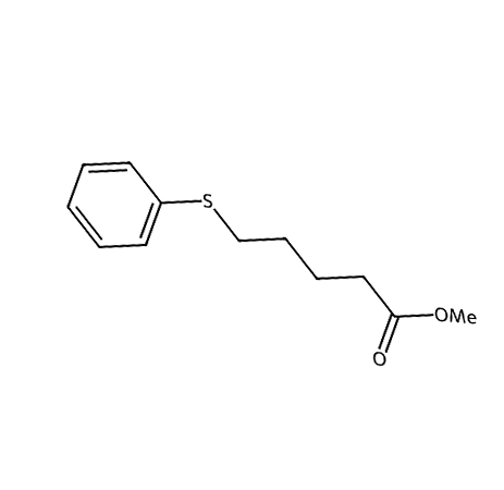 COC(=O)CCCCSc1ccccc1